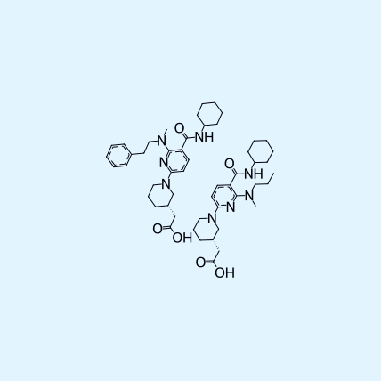 CCCN(C)c1nc(N2CCC[C@@H](CC(=O)O)C2)ccc1C(=O)NC1CCCCC1.CN(CCc1ccccc1)c1nc(N2CCC[C@@H](CC(=O)O)C2)ccc1C(=O)NC1CCCCC1